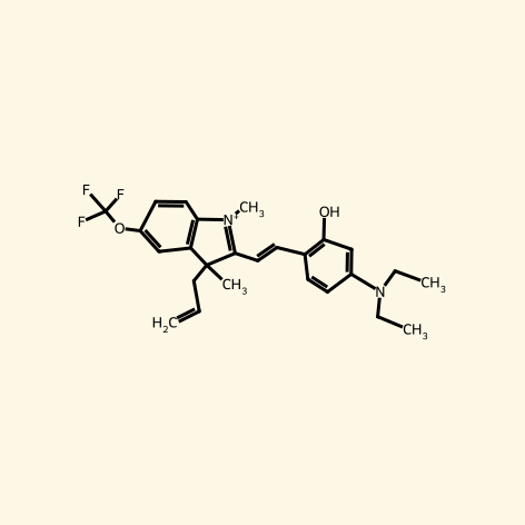 C=CCC1(C)C(/C=C/c2ccc(N(CC)CC)cc2O)=[N+](C)c2ccc(OC(F)(F)F)cc21